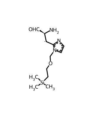 C[Si](C)(C)CCOCn1ccnc1[CH][C@H](N)C=O